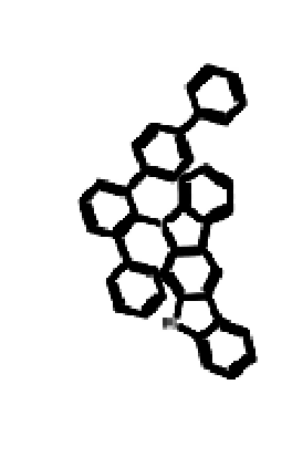 c1ccc(-c2ccc(-c3cccc(-c4ccccc4)c3-n3c4ccccc4c4cc5c(cc43)[nH]c3ccccc35)cc2)cc1